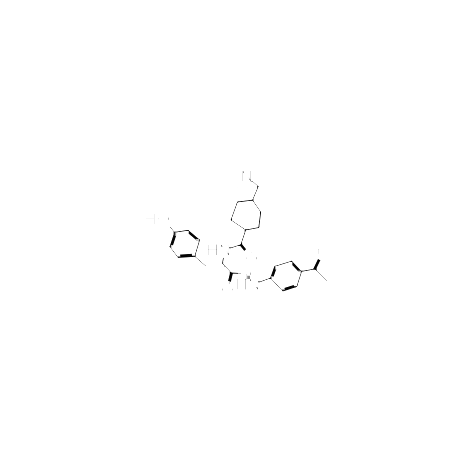 CC(=O)c1ccc(NOC(=O)[C@H](Cc2ccc(O)cc2)NC(=O)C2CCC(CN)CC2)cc1